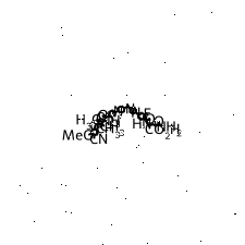 COc1cc(OC2C(C)(C)C(NC(=O)c3ccc(N4CCC(CN5CCN(c6ccc(C(=O)N[C@@H](CCC(N)=O)C(=O)O)c(F)c6)CC5)CC4)cc3)C2(C)C)ccc1C#N